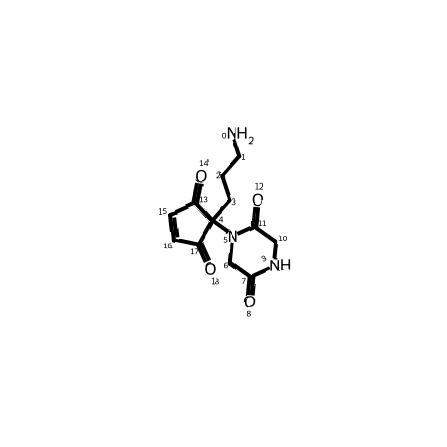 NCCCC1(N2CC(=O)NCC2=O)C(=O)C=CC1=O